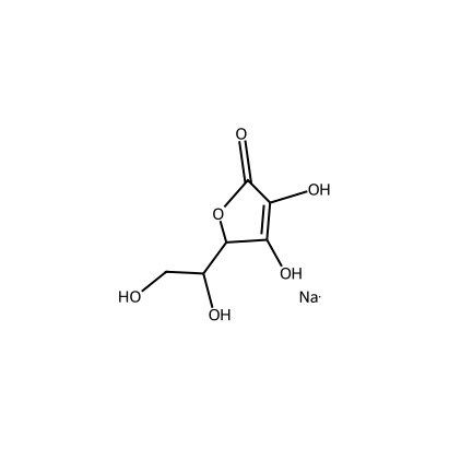 O=C1OC(C(O)CO)C(O)=C1O.[Na]